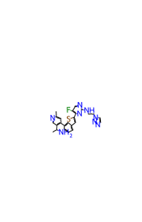 Cc1cc(-c2cccc3cc(-c4nc(NCCn5ccnn5)ncc4F)sc23)c(C(C)N)cn1